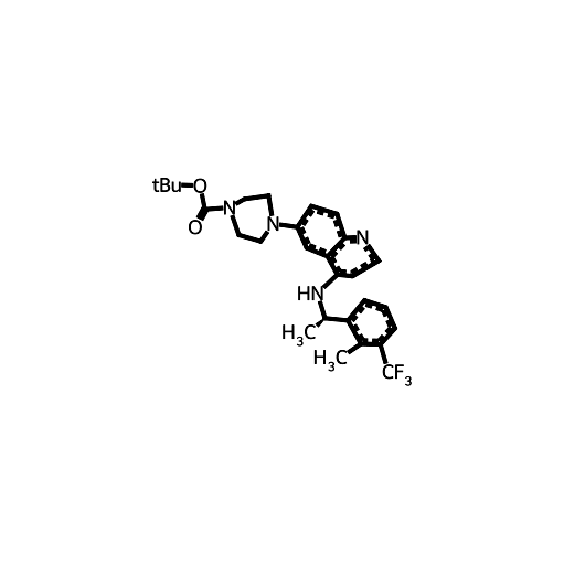 Cc1c([C@@H](C)Nc2ccnc3ccc(N4CCN(C(=O)OC(C)(C)C)CC4)cc23)cccc1C(F)(F)F